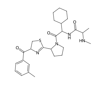 CNC(C)C(=O)NC(C(=O)N1CCCC1C1=NC(C(=O)c2cccc(C)c2)CS1)C1CCCCC1